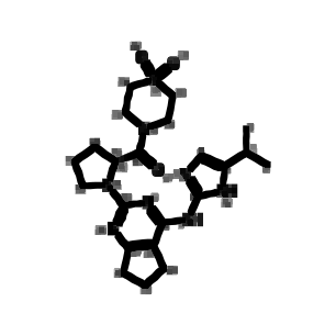 CC(C)c1cnc(Nc2nc(N3CCC[C@H]3C(=O)N3CCS(=O)(=O)CC3)nc3c2CCC3)[nH]1